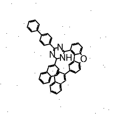 c1ccc(-c2ccc(C3=NC(c4ccc5ccccc5c4)NC(c4cccc5oc6ccc(-c7ccc8ccccc8c7)cc6c45)=N3)cc2)cc1